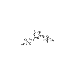 CCCS(=O)(=O)COc1ccnc(OCS(=O)(=O)CCC)n1